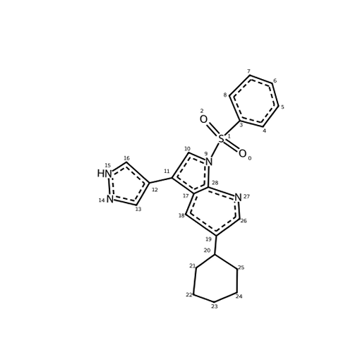 O=S(=O)(c1ccccc1)n1cc(-c2cn[nH]c2)c2cc(C3CCCCC3)cnc21